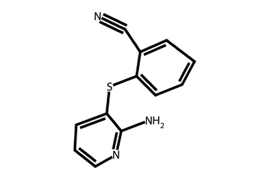 N#Cc1ccccc1Sc1cccnc1N